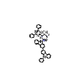 C=C1/C=C\S/N=C(n2c3ccccc3c3cc(-c4ccc5c(c4)c4ccccc4n5-c4ccccc4)ccc32)\N=C/1c1nc(-c2ccccc2)nc(-c2ccccc2)n1